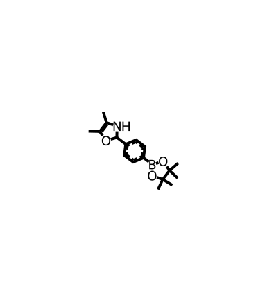 CC1=C(C)OC(c2ccc(B3OC(C)(C)C(C)(C)O3)cc2)N1